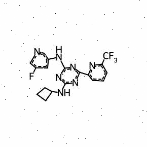 Fc1cncc(Nc2nc(NC3CCC3)nc(-c3cccc(C(F)(F)F)n3)n2)c1